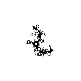 C=CC(=O)OCC(CC)(CCCC)COC(=O)c1cc(C(=O)OCC(CC)(CCCC)COC(=O)C(=C)C)cc(C(C)(C)C)c1